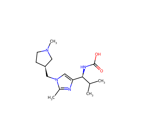 Cc1nc([C@@H](NC(=O)O)C(C)C)cn1C[C@H]1CCN(C)C1